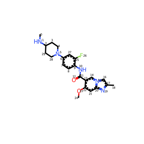 CNC1CCN(c2ccc(NC(=O)c3cn4cc(C)nc4cc3OC)c(F)c2)CC1